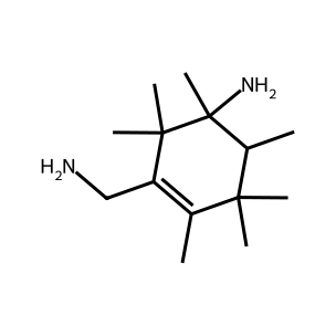 CC1=C(CN)C(C)(C)C(C)(N)C(C)C1(C)C